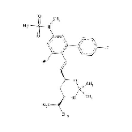 CC(C)c1nc(N(C)S(C)(=O)=O)nc(-c2ccc(F)cc2)c1/C=C/[C@@H]1C[C@H](C(C)C(=O)O)OC(C)(C)O1